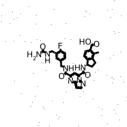 Cc1c(C(=O)O)ccc2c1CC[C@@H]2NC(=O)c1cc(C(=O)NCc2ccc(F)c(CNC(N)=O)c2)nc2ccnn12